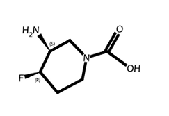 N[C@H]1CN(C(=O)O)CC[C@H]1F